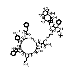 CO[C@H]1C(=O)[C@@]2(C)C([C@H](O)[C@]3(O)CC(OC(=O)C(OC(=O)OCCSSCC(NC(=O)[C@@H]4CSSC[C@H](NC(=O)C(N)Cc5ccccc5)C(=O)N[C@@H](Cc5ccc(O)cc5)C(=O)N[C@H](Cc5c[nH]c6ccccc56)C(=O)NC(CCCCN)C(=O)NC([C@@H](C)O)C(=O)N4)C(N)=O)[C@@H](NC(=O)OC(C)(C)C)c4ccccc4)C(C)=C1C3(C)C)[C@]1(O)CO[C@@H]1C[C@@H]2OC